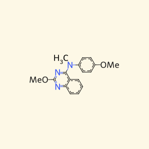 COc1ccc(N(C)c2nc(OC)nc3ccccc23)cc1